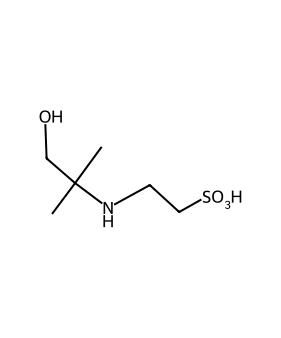 CC(C)(CO)NCCS(=O)(=O)O